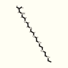 CCOCCOCCOCCOCCOCCOCCNCC(C)C